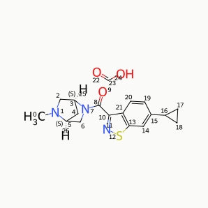 CN1C[C@@H]2C[C@H]1CN2C(=O)c1nsc2cc(C3CC3)ccc12.O=CO